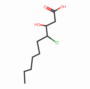 CCCCCCC(Cl)C(O)CC(=O)O